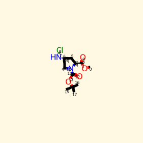 COC(=O)[C@@H]1C[C@@H](NCl)CN1C(=O)OC(C)(C)C